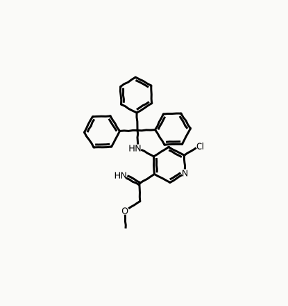 COCC(=N)c1cnc(Cl)cc1NC(c1ccccc1)(c1ccccc1)c1ccccc1